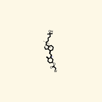 C=C1CC[C@H](OC(=O)CBr)C/C1=C/C=C1CCC[C@@]2(C)C1CC[C@@H]2[C@H](C)CCCC(C)(C)O